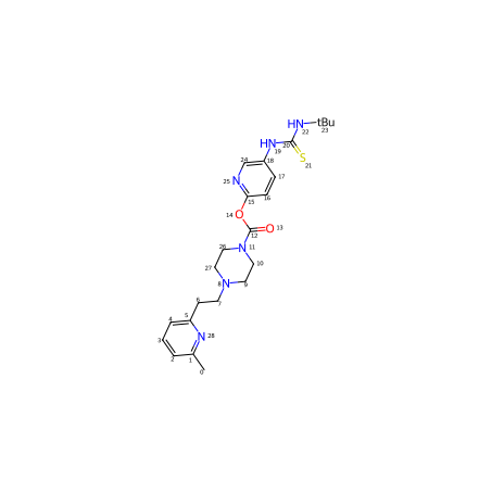 Cc1cccc(CCN2CCN(C(=O)Oc3ccc(NC(=S)NC(C)(C)C)cn3)CC2)n1